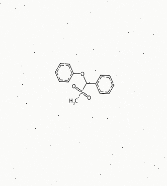 CS(=O)(=O)[C](Oc1ccccc1)c1ccccc1